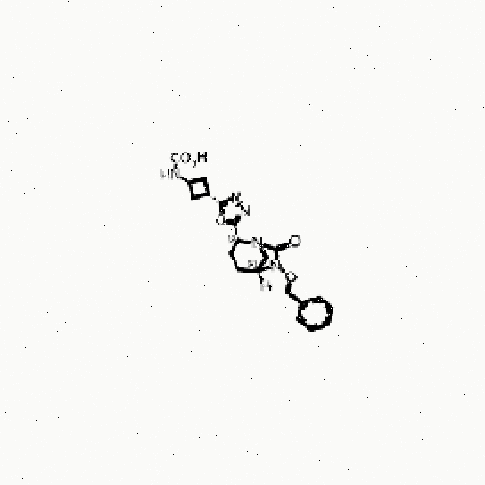 O=C(O)N[C@H]1C[C@H](c2nnc([C@@H]3CC[C@@H]4CN3C(=O)N4OCc3ccccc3)o2)C1